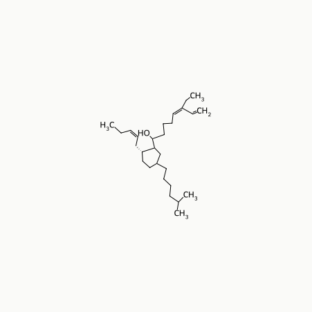 C=C/C(=C\CCCC(O)C1CC(CCCCC(C)C)CC[C@@H]1C/C=C\CC)CC